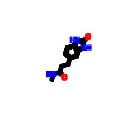 CNC(=O)CCc1ccc2[nH]c(=O)[nH]c2c1